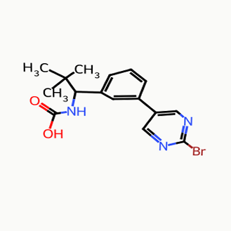 CC(C)(C)C(NC(=O)O)c1cccc(-c2cnc(Br)nc2)c1